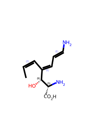 C\C=C/C(=C\C=C\N)[C@@H](O)[C@H](N)C(=O)O